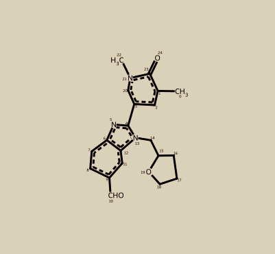 Cc1cc(-c2nc3ccc(C=O)cc3n2CC2CCCO2)cn(C)c1=O